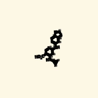 O=C(O)c1cnc(Nc2ccc3ncsc3c2)cc1NC1CC1